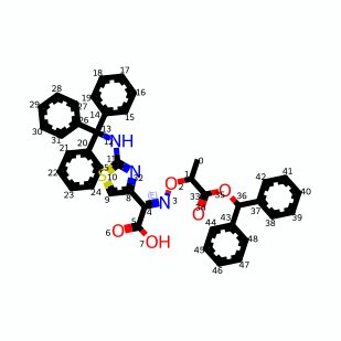 CC(O/N=C(/C(=O)O)c1csc(NC(c2ccccc2)(c2ccccc2)c2ccccc2)n1)C(=O)OC(c1ccccc1)c1ccccc1